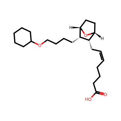 O=C(O)CCC/C=C\C[C@@H]1[C@H](CCCCOC2CCCCC2)[C@@H]2CC[C@H]1O2